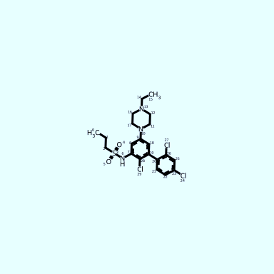 CCCS(=O)(=O)Nc1cc(N2CCN(CC)CC2)cc(-c2ccc(Cl)cc2Cl)c1Cl